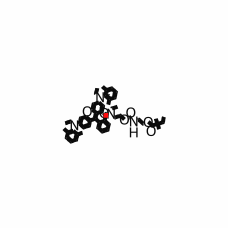 CCN(CCOC(=O)NCCOC(=O)C(C)(C)CC)C(=O)c1ccccc1-c1c2cc/c(=[N+](/CC)c3c(C)cccc3C)cc-2oc2cc(N(CC)c3c(C)cccc3C)ccc12